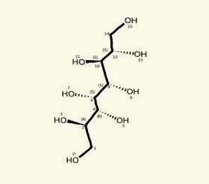 OC[C@@H](O)[C@@H](O)[C@H](O)[C@@H](O)[C@@H](O)[C@@H](O)CO